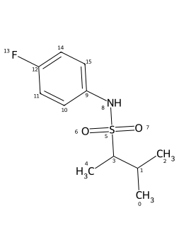 CC(C)C(C)S(=O)(=O)Nc1ccc(F)cc1